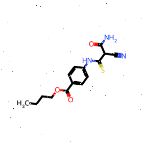 CCCCOC(=O)c1ccc(NC(=S)C(C#N)C(N)=O)cc1